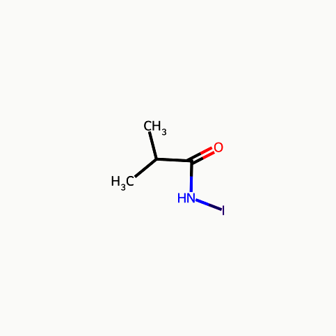 CC(C)C(=O)NI